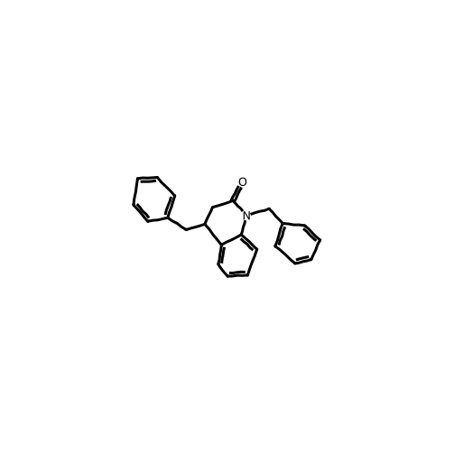 O=C1CC(Cc2ccccc2)c2ccccc2N1Cc1ccccc1